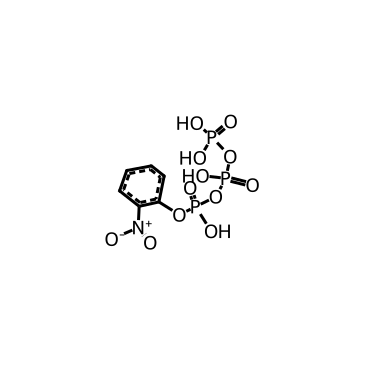 O=[N+]([O-])c1ccccc1OP(=O)(O)OP(=O)(O)OP(=O)(O)O